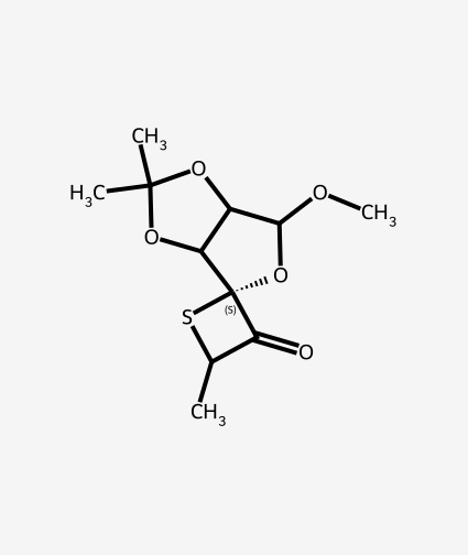 COC1O[C@]2(SC(C)C2=O)C2OC(C)(C)OC12